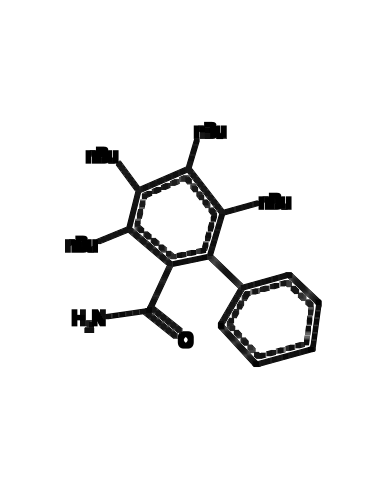 CCCCc1c(CCCC)c(CCCC)c(-c2ccccc2)c(C(N)=O)c1CCCC